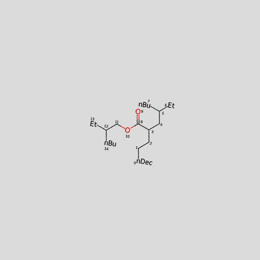 CCCCCCCCCCCCC(CC(CC)CCCC)C(=O)OCC(CC)CCCC